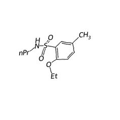 CCCNS(=O)(=O)c1cc(C)ccc1OCC